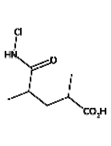 CC(CC(C)C(=O)NCl)C(=O)O